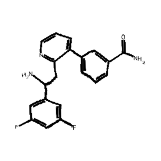 NC(=O)c1cccc(-c2cccnc2CC(N)c2cc(F)cc(F)c2)c1